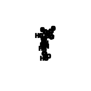 COc1ccc(C(OC[C@H]2O[C@@H](n3cnc4c(NCc5cccc(C(=O)O)c5)ncnc43)C[C@@H]2O)(c2ccccc2)c2ccc(OC)cc2)cc1